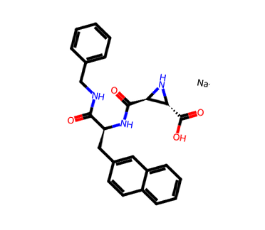 O=C(NCc1ccccc1)[C@H](Cc1ccc2ccccc2c1)NC(=O)[C@H]1N[C@@H]1C(=O)O.[Na]